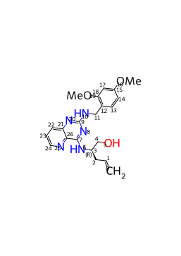 C=CC[C@H](CO)Nc1nc(NCc2ccc(OC)cc2OC)nc2cccnc12